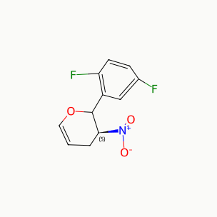 O=[N+]([O-])[C@H]1CC=COC1c1cc(F)ccc1F